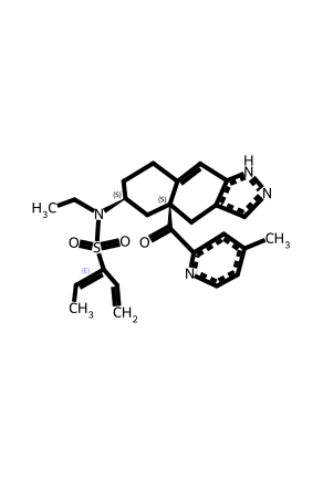 C=C/C(=C\C)S(=O)(=O)N(CC)[C@H]1CCC2=Cc3[nH]ncc3C[C@]2(C(=O)c2cc(C)ccn2)C1